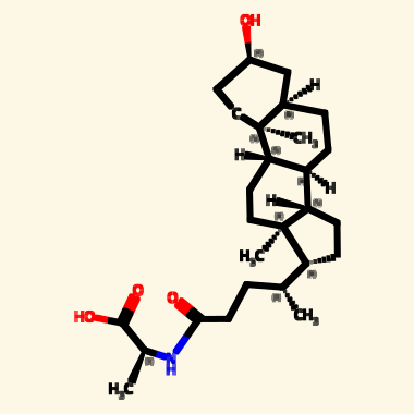 C[C@H](NC(=O)CC[C@@H](C)[C@H]1CC[C@H]2[C@@H]3CC[C@@H]4C[C@H](O)CC[C@]4(C)[C@H]3CC[C@]12C)C(=O)O